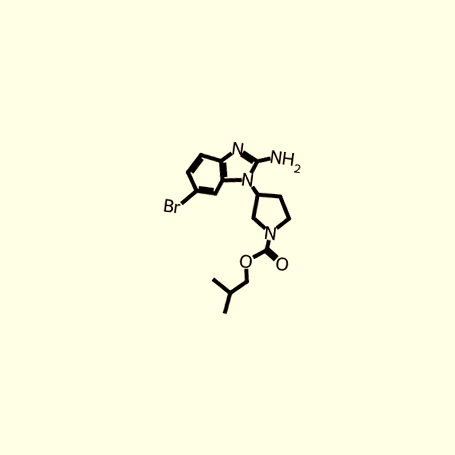 CC(C)COC(=O)N1CCC(n2c(N)nc3ccc(Br)cc32)C1